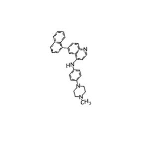 CN1CCN(c2ccc(Nc3ccnc4ccc(-c5cccc6ccccc56)cc34)cc2)CC1